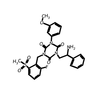 COc1cccc(-n2c(=O)n(Cc3c(F)cccc3S(C)(=O)=O)c(=O)n(CC(N)c3ccccc3)c2=O)c1